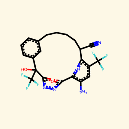 N#CC1CCCCc2cccc(c2)C(O)(C(F)(F)F)c2nnc(o2)-c2nc1c(C(F)(F)F)cc2N